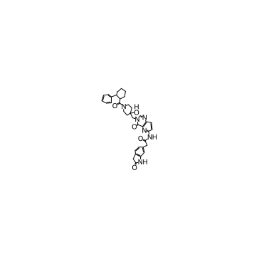 O=C(Cc1ccc2c(c1)NC(=O)C2)Nc1ccc2ncn(CC3(O)CCN(C(=O)C4CCCCC4c4ccccc4)CC3)c(=O)c2n1